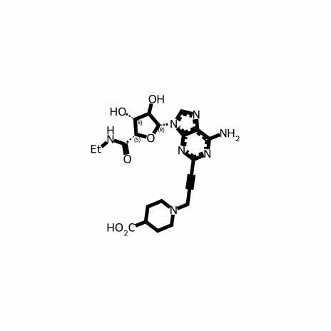 CCNC(=O)[C@H]1O[C@@H](n2cnc3c(N)nc(C#CCN4CCC(C(=O)O)CC4)nc32)C(O)[C@H]1O